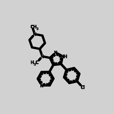 CN1CCC(N(C)c2n[nH]c(-c3ccc(Cl)cc3)c2-c2ccncc2)CC1